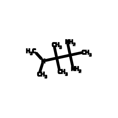 CN(C)C(C)(C)C(C)(N)N